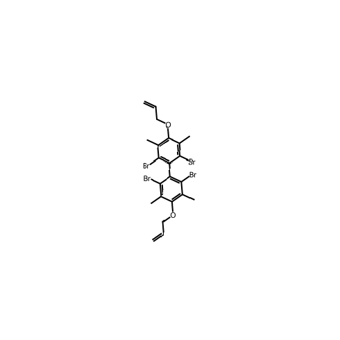 C=CCOc1c(C)c(Br)c(-c2c(Br)c(C)c(OCC=C)c(C)c2Br)c(Br)c1C